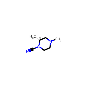 C[C@@H]1CN(C)CCN1C#N